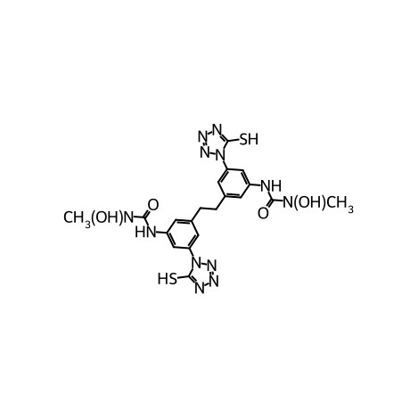 CN(O)C(=O)Nc1cc(CCc2cc(NC(=O)N(C)O)cc(-n3nnnc3S)c2)cc(-n2nnnc2S)c1